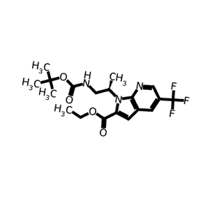 CCOC(=O)c1cc2cc(C(F)(F)F)cnc2n1[C@H](C)CNC(=O)OC(C)(C)C